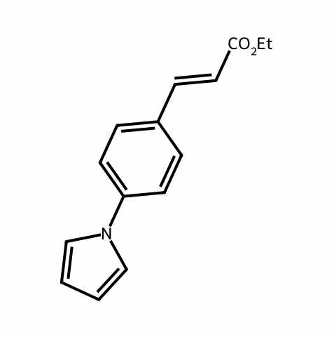 CCOC(=O)C=Cc1ccc(-n2cccc2)cc1